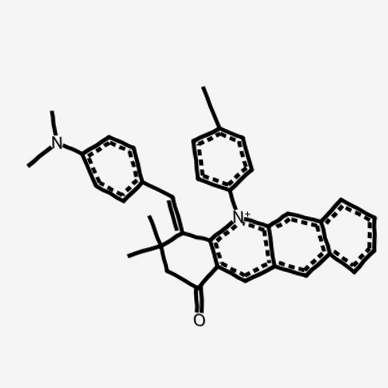 Cc1ccc(-[n+]2c3c(cc4cc5ccccc5cc42)C(=O)CC(C)(C)C3=Cc2ccc(N(C)C)cc2)cc1